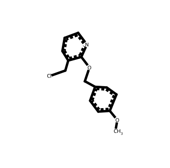 COc1ccc(COc2ncccc2CCl)cc1